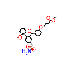 CCOC(=O)/C=C/COc1cccc(C2Oc3cccc(OC)c3-c3ccc(CS(N)(=O)=O)cc32)c1